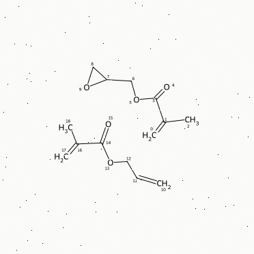 C=C(C)C(=O)OCC1CO1.C=CCOC(=O)C(=C)C